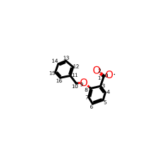 [O]C(=O)c1ccccc1OCc1ccccc1